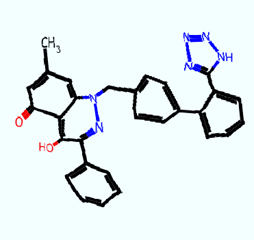 Cc1cc2n(Cc3ccc(-c4ccccc4-c4nnn[nH]4)cc3)nc(-c3ccccc3)c(O)c-2c(=O)c1